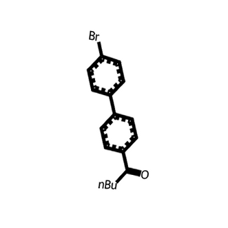 CCCCC(=O)c1ccc(-c2ccc(Br)cc2)cc1